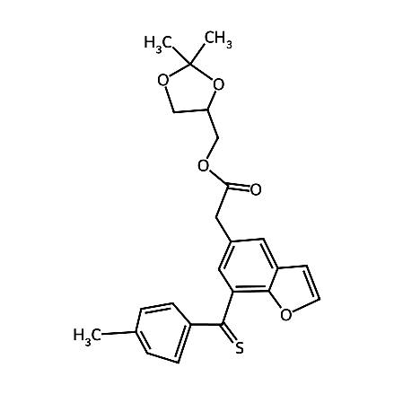 Cc1ccc(C(=S)c2cc(CC(=O)OCC3COC(C)(C)O3)cc3ccoc23)cc1